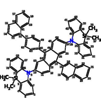 C[Si]1(C)c2ccccc2N(c2ccc3c(-c4ccc5ccccc5c4)c4cc(N5c6ccccc6[Si](C)(C)c6ccccc65)ccc4c(-c4ccc(-c5cccc6ccccc56)cc4)c3c2)c2ccccc21